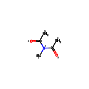 BC(=O)N(C(B)=O)C(C)CC